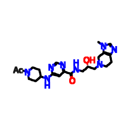 CC(=O)N1CCC(Nc2cc(C(=O)NC[C@H](O)CN3CCc4ncn(C)c4C3)ncn2)CC1